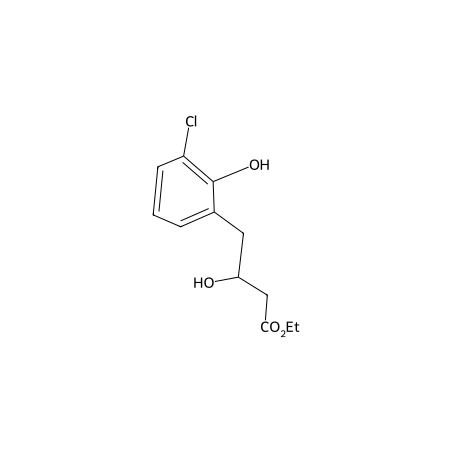 CCOC(=O)CC(O)Cc1cccc(Cl)c1O